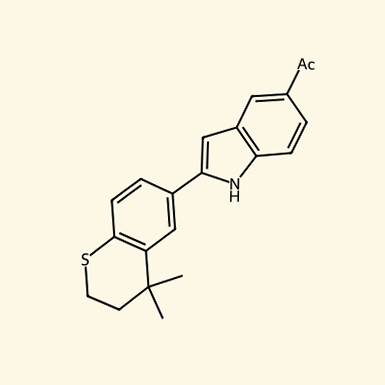 CC(=O)c1ccc2[nH]c(-c3ccc4c(c3)C(C)(C)CCS4)cc2c1